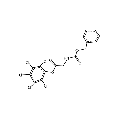 O=C(CNC(=O)OCc1ccccc1)Oc1c(Cl)c(Cl)c(Cl)c(Cl)c1Cl